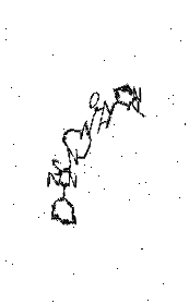 Cn1nccc1NC(=O)N1CCN(c2nc(-c3ccccc3)ns2)CC1